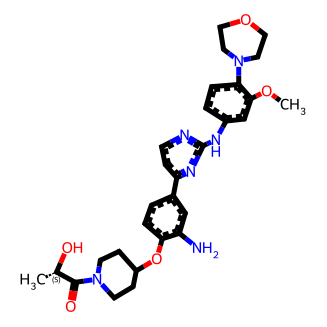 COc1cc(Nc2nccc(-c3ccc(OC4CCN(C(=O)[C@H](C)O)CC4)c(N)c3)n2)ccc1N1CCOCC1